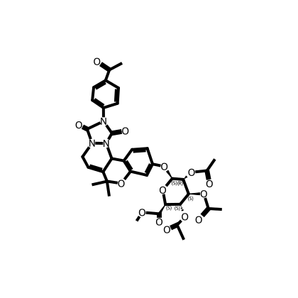 COC(=O)[C@H]1O[C@@H](Oc2ccc3c(c2)OC(C)(C)C2=CCn4c(=O)n(-c5ccc(C(C)=O)cc5)c(=O)n4C23)[C@H](OC(C)=O)[C@@H](OC(C)=O)[C@@H]1OC(C)=O